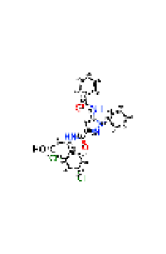 O=C(O)CC(NC(=O)c1cc(NC(=O)c2ccccc2)n(-c2ccccc2)n1)c1ccc(Cl)cc1Cl